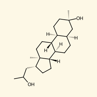 CC(O)C[C@H]1CC[C@H]2[C@@H]3CC[C@@H]4C[C@](C)(O)CC[C@@H]4[C@H]3CC[C@]12C